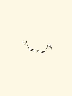 PC=[B-]=CP